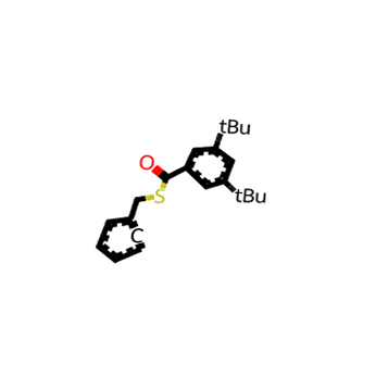 CC(C)(C)c1cc(C(=O)SCc2ccccc2)cc(C(C)(C)C)c1